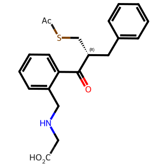 CC(=O)SC[C@H](Cc1ccccc1)C(=O)c1ccccc1CNCC(=O)O